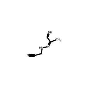 C/C(C=N)=N/NCC#N